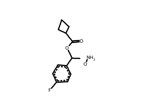 CC(OC(=O)C1CCC1)c1ccc(F)cc1.N[O]